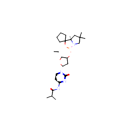 CC[C@H]1O[C@@H](n2ccc(NC(=O)C(C)C)nc2=O)CC1O[P@@]1OC2(CCCC2)[C@@H]2CC(C)(C)CN21